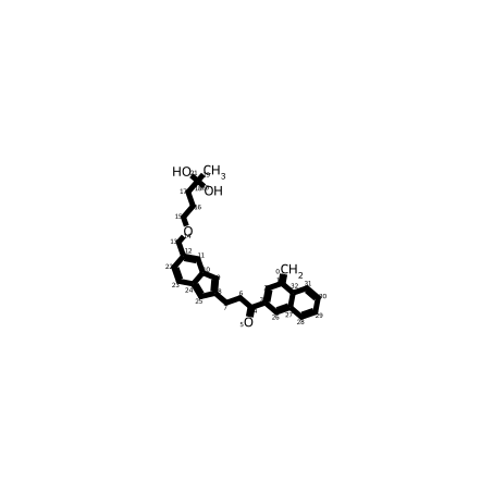 C=C1C=C(C(=O)CCC2=CC3C=C(COCCCC(C)(O)O)C=CC3=C2)C=C2C=CC=CC12